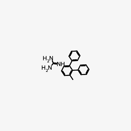 Cc1cccc(-c2ccccc2)c1-c1ccccc1.N=C(N)N